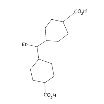 CCC(C1CCC(C(=O)O)CC1)C1CCC(C(=O)O)CC1